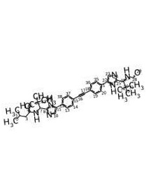 CC(C)CC(=O)NC(c1ncc(-c2ccc(C#Cc3ccc(-c4cnc(C(NC=O)C(C)(C)C)[nH]4)cc3)cc2)[nH]1)C(C)(C)C